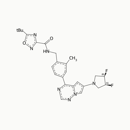 Cc1cc(-c2ncnn3cc(N4C[C@@H](F)[C@@H](F)C4)cc23)ccc1CNC(=O)c1noc(C(C)(C)C)n1